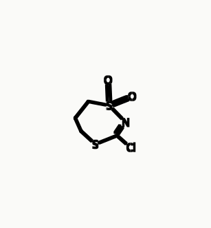 O=S1(=O)CCCSC(Cl)=N1